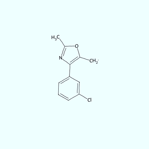 [CH2]c1oc(C)nc1-c1cccc(Cl)c1